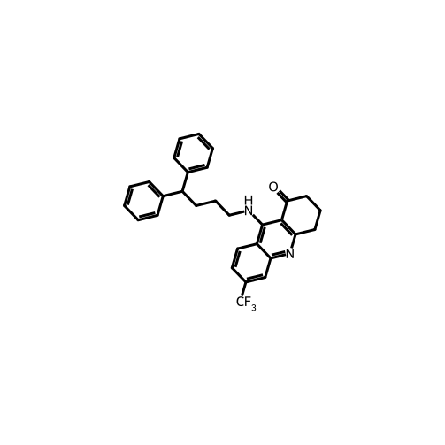 O=C1CCCc2nc3cc(C(F)(F)F)ccc3c(NCCCC(c3ccccc3)c3ccccc3)c21